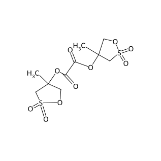 CC1(OC(=O)C(=O)OC2(C)COS(=O)(=O)C2)COS(=O)(=O)C1